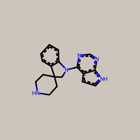 c1ccc2c(c1)N(c1ncnc3[nH]ccc13)CC21CCNCC1